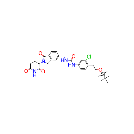 CC(C)(C)[Si](C)(C)OCCc1ccc(NC(=O)NCc2ccc3c(c2)CN(C2CCC(=O)NC2=O)C3=O)cc1Cl